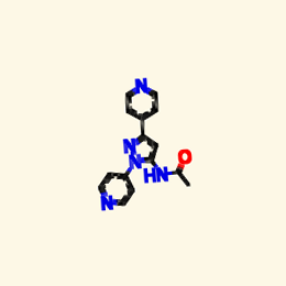 CC(=O)Nc1cc(-c2ccncc2)nn1-c1ccncc1